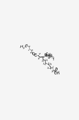 CCCCCCCCC=CCCCCCCCC(=O)O.[CaH2].[MgH2]